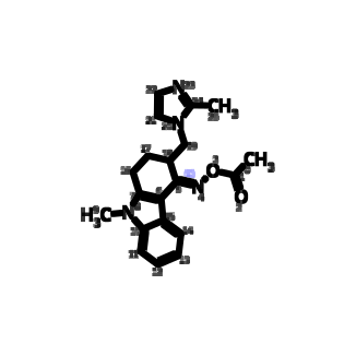 CC(=O)O/N=C1/c2c(n(C)c3ccccc23)CCC1Cn1ccnc1C